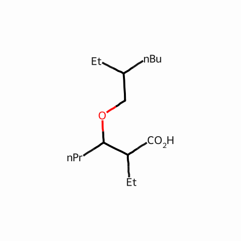 CCCCC(CC)COC(CCC)C(CC)C(=O)O